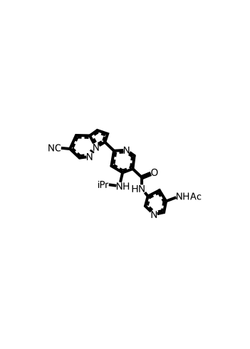 CC(=O)Nc1cncc(NC(=O)c2cnc(-c3ccc4cc(C#N)cnn34)cc2NC(C)C)c1